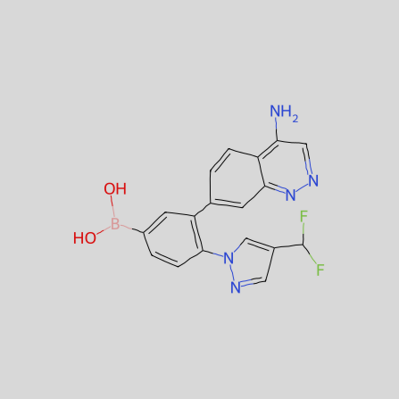 Nc1cnnc2cc(-c3cc(B(O)O)ccc3-n3cc(C(F)F)cn3)ccc12